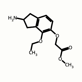 CCOc1c(OCC(=O)OC)ccc2c1CC(N)C2